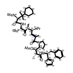 CN[C@H](C(=O)N[C@H](C(=O)N(C)[C@H](/C=C(\C)C(=O)N1CCC[C@H]1[C@H](OC)[C@@H](C)C(=O)N[C@@H](Cc1ccccc1)c1nccs1)C(C)C)C(C)(C)C)C(C)(C)C1CCCCC1